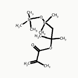 C=C(C)C(=O)OC(C)(C)C[Si](C)(C)O[Si](C)(C)C